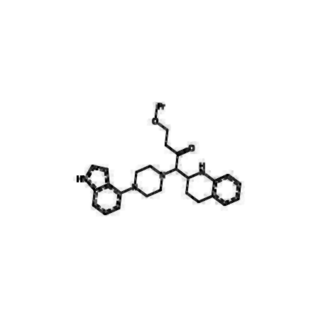 CC(C)OCCC(=O)C(C1CCc2ccccc2N1)N1CCN(c2cccc3[nH]ccc23)CC1